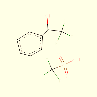 O=S(=O)(O)C(F)(F)F.OC(c1ccccc1)C(F)(F)F